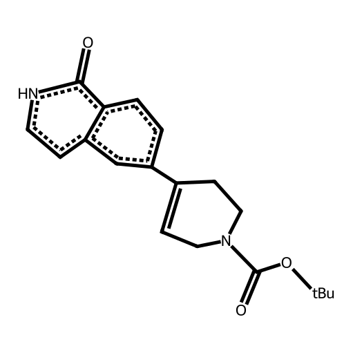 CC(C)(C)OC(=O)N1CC=C(c2ccc3c(=O)[nH]ccc3c2)CC1